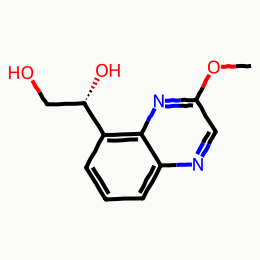 COc1cnc2cccc([C@@H](O)CO)c2n1